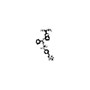 CN(CCc1ccc(NC(=O)OCC(Oc2cccc3sc(C(=N)N)cc23)c2ccccc2)cc1)S(C)(=O)=O